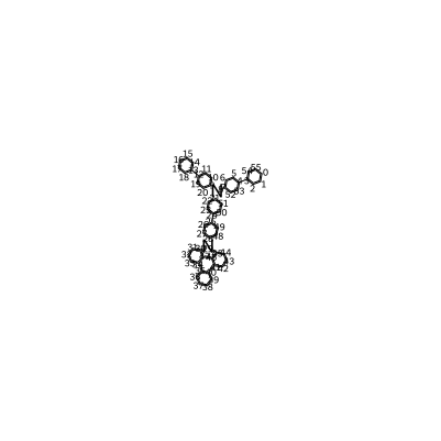 c1ccc(-c2ccc(N(c3ccc(-c4ccccc4)cc3)c3ccc(-c4ccc(-n5c6cccc7c8ccccc8c8cccc5c8c76)cc4)cc3)cc2)cc1